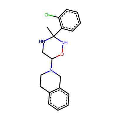 CC1(c2ccccc2Cl)NCC(N2CCc3ccccc3C2)ON1